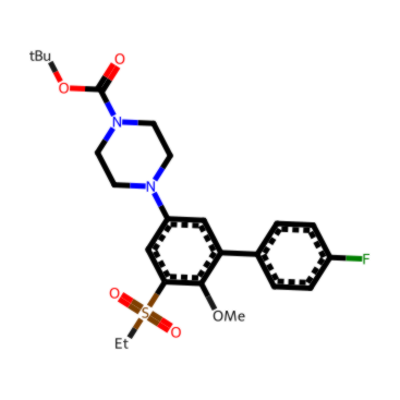 CCS(=O)(=O)c1cc(N2CCN(C(=O)OC(C)(C)C)CC2)cc(-c2ccc(F)cc2)c1OC